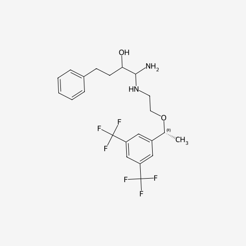 C[C@@H](OCCNC(N)C(O)CCc1ccccc1)c1cc(C(F)(F)F)cc(C(F)(F)F)c1